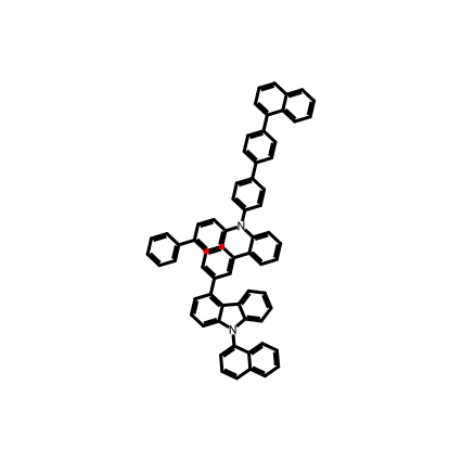 c1ccc(-c2ccc(N(c3ccc(-c4ccc(-c5cccc6ccccc56)cc4)cc3)c3ccccc3-c3cccc(-c4cccc5c4c4ccccc4n5-c4cccc5ccccc45)c3)cc2)cc1